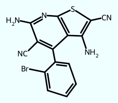 N#Cc1sc2nc(N)c(C#N)c(-c3ccccc3Br)c2c1N